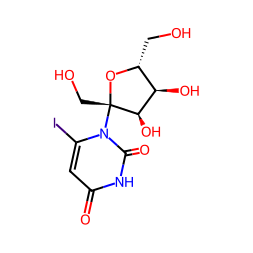 O=c1cc(I)n([C@]2(CO)O[C@H](CO)[C@@H](O)[C@H]2O)c(=O)[nH]1